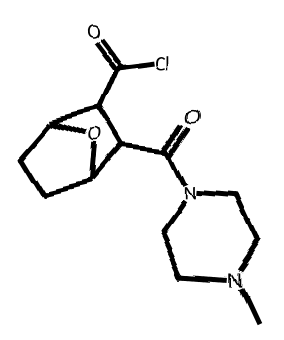 CN1CCN(C(=O)C2C3CCC(O3)C2C(=O)Cl)CC1